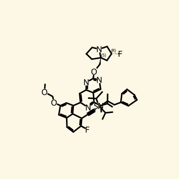 COCOc1cc(-c2cc3nc(OC[C@@]45CCCN4C[C@H](F)C5)ncc3c(N(C)CCc3ccccc3)n2)c2c(C#C[Si](C(C)C)(C(C)C)C(C)C)c(F)ccc2c1